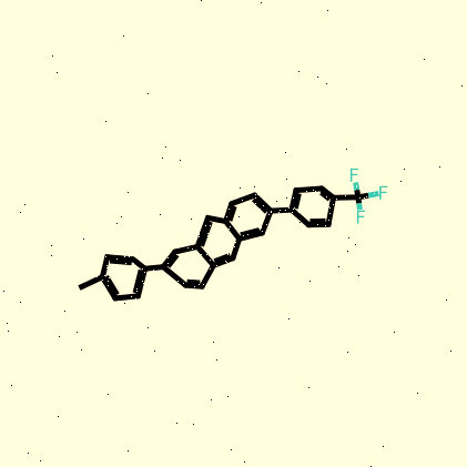 Cc1ccc(-c2ccc3cc4cc(-c5ccc(C(F)(F)F)cc5)ccc4cc3c2)cc1